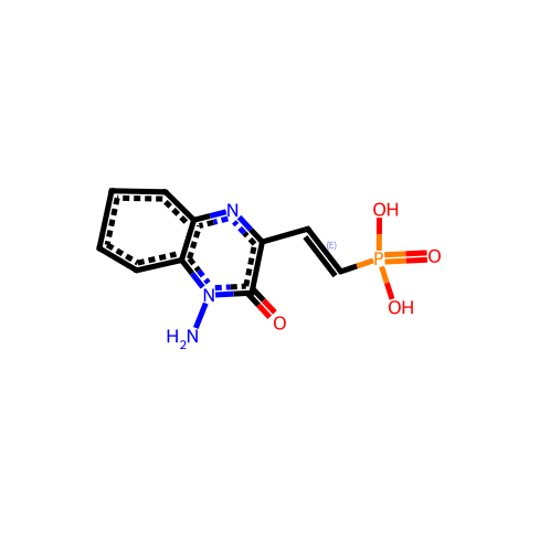 Nn1c(=O)c(/C=C/P(=O)(O)O)nc2ccccc21